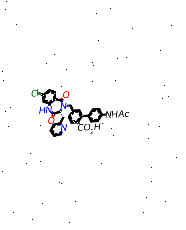 CC(=O)Nc1ccc(-c2cc(CN3C(=O)c4ccc(Cl)cc4NC(=O)[C@H]3Cc3ccccn3)ccc2C(=O)O)cc1